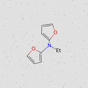 [CH2]CN(c1ccco1)c1ccco1